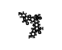 CNC(=O)c1c(-c2ccc(F)cc2)oc2cc(N(C)S(C)(=O)=O)c(-c3ccc4[nH]c(=O)n5c6ccc(F)cc6cc5c4n3)cc12